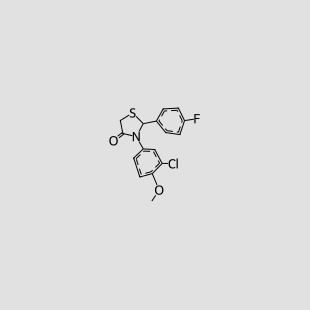 COc1ccc(N2C(=O)CSC2c2ccc(F)cc2)cc1Cl